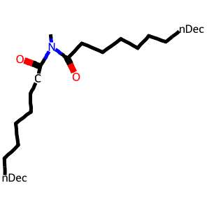 CCCCCCCCCCCCCCCCC(=O)N(C)C(=O)CCCCCCCCCCCCCCCC